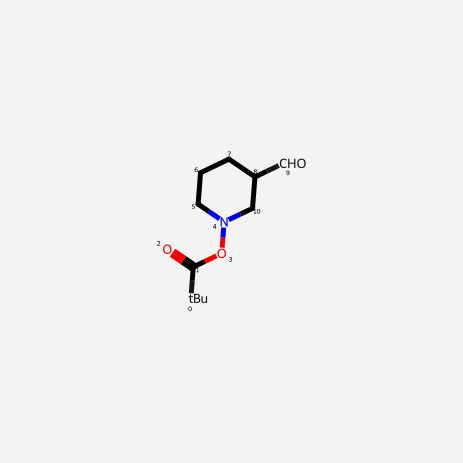 CC(C)(C)C(=O)ON1CCCC(C=O)C1